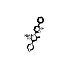 C=C(/C=C(\NNC)N1CCOCC1)NC(=O)/C=C\C(=N)c1ccccc1